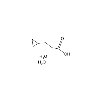 O.O.O=C(O)CCC1CC1